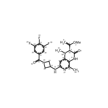 C=C(OC)[C@H]1C(=O)Nc2c(cc(NC3CN(C(=O)c4cc(F)c(F)c(F)c4)C3)nc2C)N1C